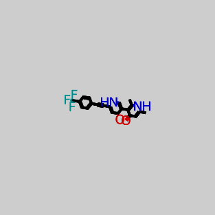 Cc1cc(=O)c(-c2c[nH]c(C#Cc3ccc(C(F)(F)F)cc3)cc2=O)c(C)[nH]1